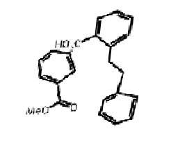 COC(=O)c1ccccc1.O=C(O)c1ccccc1CCc1ccccc1